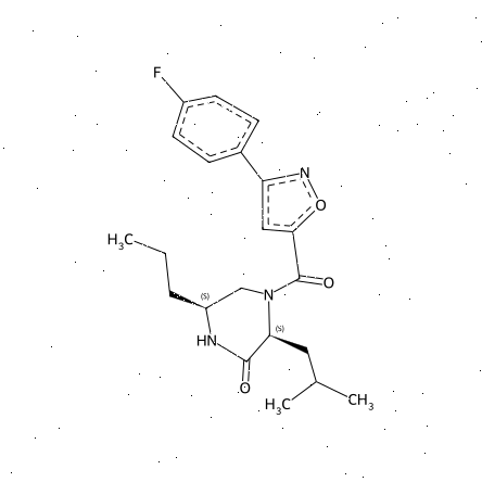 CCC[C@H]1CN(C(=O)c2cc(-c3ccc(F)cc3)no2)[C@@H](CC(C)C)C(=O)N1